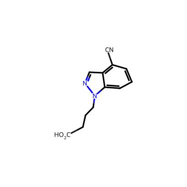 N#Cc1cccc2c1cnn2CCCC(=O)O